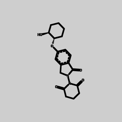 O=C1c2ccc(O[C@H]3CCCC[C@@H]3O)cc2CN1N1C(=O)CCCC1=O